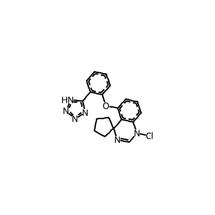 ClN1C=NC2(CCCC2)c2c(Oc3ccccc3-c3nnn[nH]3)cccc21